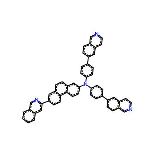 c1ccc2cc(-c3ccc4c(ccc5cc(N(c6ccc(-c7ccc8cnccc8c7)cc6)c6ccc(-c7ccc8cnccc8c7)cc6)ccc54)c3)ncc2c1